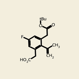 C=C(C)c1c(CC(=O)O)cc(F)cc1CC(=O)OC(C)(C)C